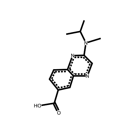 CC(C)N(C)c1cnc2cc(C(=O)O)ccc2n1